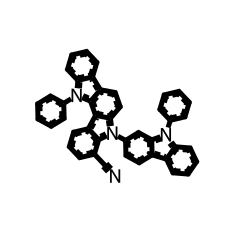 N#Cc1cccc2c3c(ccc4c5ccccc5n(-c5ccccc5)c43)n(-c3ccc4c5ccccc5n(-c5ccccc5)c4c3)c12